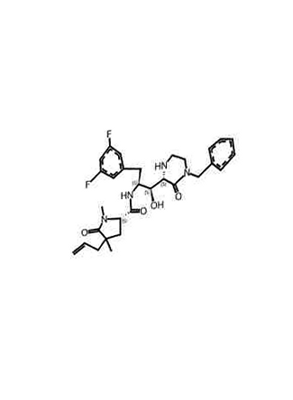 C=CCC1(C)C[C@@H](C(=O)N[C@@H](Cc2cc(F)cc(F)c2)[C@H](O)[C@@H]2NCCN(Cc3ccccc3)C2=O)N(C)C1=O